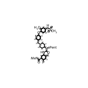 CCCCCN(C(=O)Nc1cc(C(=O)NC)c(F)cc1F)C1CCN(Cc2ccc(Oc3ccc(NS(C)(=O)=O)cc3C)nc2)CC1